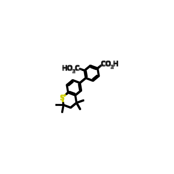 CC1(C)CC(C)(C)c2cc(-c3ccc(C(=O)O)cc3C(=O)O)ccc2S1